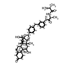 C[C@H](N)C(=O)N[C@@H](C)C(=O)Nc1cccc(Cc2ccc([C@@H]3O[C@@H]4C[C@H]5C6CCC7=CC(=O)C=CC7(C)[C@H]6C(O)CC5(C)[C@]4(C(=O)CO)O3)cc2)c1